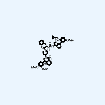 COc1cc(-c2ncnc3c(OC(=O)N[C@H](Cc4ccccc4)C(=O)N4CCC(N5N=C(c6ccc(OC)c(OC)c6)[C@H]6CCCC[C@H]6C5=O)CC4)c[nH]c23)c(OCC2CC2)cc1F